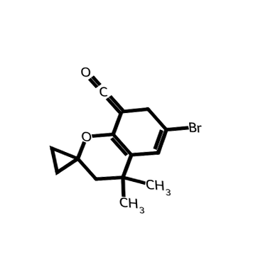 CC1(C)CC2(CC2)OC2=C1C=C(Br)CC2=C=O